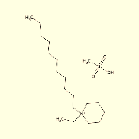 CCCCCCCCCCC[N+]1(CC)CCCCC1.CS(=O)(=O)O